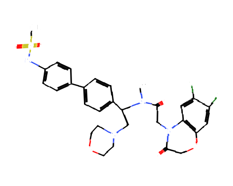 CN(C(=O)CN1C(=O)COc2cc(Cl)c(Cl)cc21)C(CN1CCOCC1)c1ccc(-c2ccc(NS(C)(=O)=O)cc2)cc1